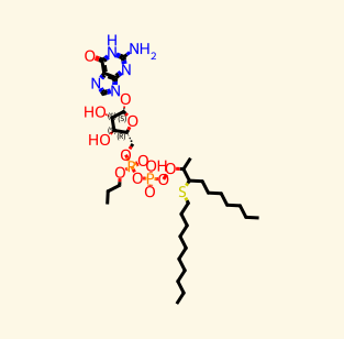 CCCCCCCCCCSC(CCCCCCC)C(C)OOP(=O)(O)OP(=O)(OCCC)OC[C@H]1O[C@@H](On2cnc3c(=O)[nH]c(N)nc32)[C@@H](O)[C@@H]1O